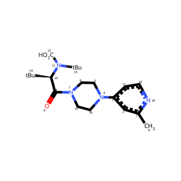 Cc1cc(N2CCN(C(=O)[C@H](N(C(=O)O)C(C)(C)C)C(C)(C)C)CC2)ccn1